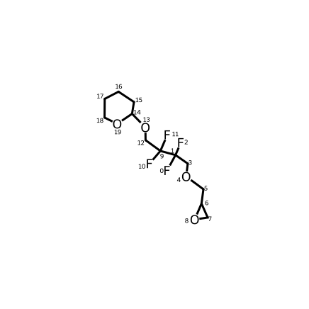 FC(F)(COCC1CO1)C(F)(F)COC1CCCCO1